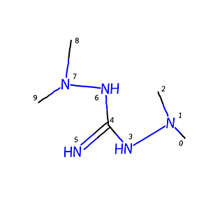 CN(C)NC(=N)NN(C)C